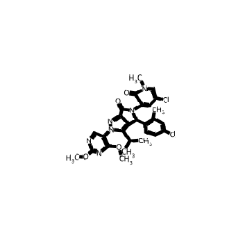 COc1ncc(-n2nc3c(c2C(C)C)C(c2ccc(Cl)cc2C)N(c2cc(Cl)cn(C)c2=O)C3=O)c(OC)n1